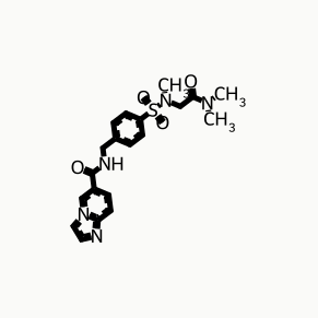 CN(C)C(=O)CN(C)S(=O)(=O)c1ccc(CNC(=O)c2ccc3nccn3c2)cc1